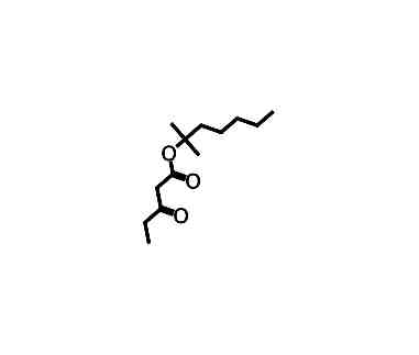 CCCCCC(C)(C)OC(=O)CC(=O)CC